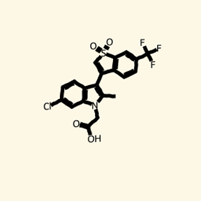 Cc1c(C2=CS(=O)(=O)c3cc(C(F)(F)F)ccc32)c2ccc(Cl)cc2n1CC(=O)O